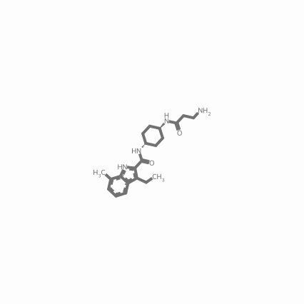 CCc1c(C(=O)N[C@H]2CC[C@H](NC(=O)CCN)CC2)[nH]c2c(C)cccc12